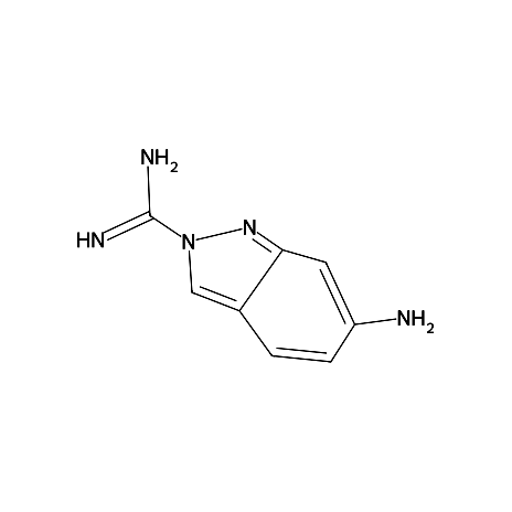 N=C(N)n1cc2ccc(N)cc2n1